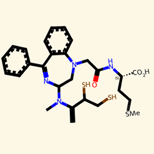 C=C(C(S)CS)N(C)C1CN(CC(=O)N[C@@H](CCSC)C(=O)O)c2ccccc2C(c2ccccc2)=N1